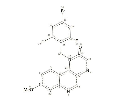 COc1ccc2c(ncc3ncc(=O)n(Cc4c(F)cc(Br)cc4F)c32)n1